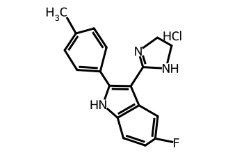 Cc1ccc(-c2[nH]c3ccc(F)cc3c2C2=NCCN2)cc1.Cl